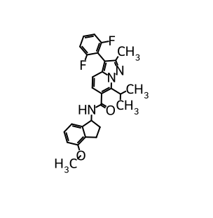 COc1cccc2c1CCC2NC(=O)c1ccc2c(-c3c(F)cccc3F)c(C)nn2c1C(C)C